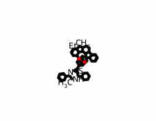 CCC12C=CCC(C3=CC(C4C5N=C(C6C=CC=CC6)C(C)NC6C7CCCCC7SC564)CC=C3)C1C1C(CCC3C4=CC=CCC4C4(CCCCC4)C31)C2C